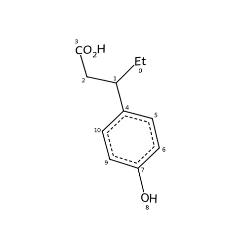 CCC(CC(=O)O)c1ccc(O)cc1